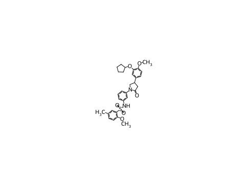 COc1ccc(C2CC(=O)N(c3cccc(NS(=O)(=O)c4cc(C)ccc4OC)c3)C2)cc1OC1CCCC1